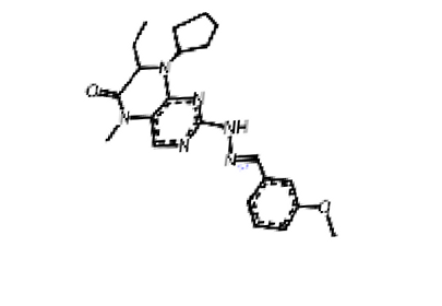 CCC1C(=O)N(C)c2cnc(N/N=C/c3cccc(OC)c3)nc2N1C1CCCC1